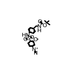 COc1cc([N+]#N)ccc1S(=O)(=O)Nc1ccc(CNC(=O)OC(C)(C)C)cc1